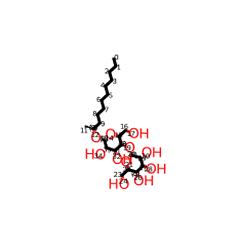 CCCCCCCCCC[C@H](C)O[C@@H]1OC(CO)[C@@H](O[C@H]2OC(CO)[C@@H](O)C(O)C2O)C(O)C1O